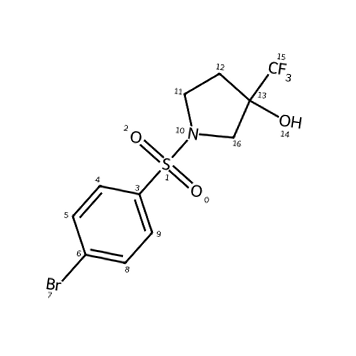 O=S(=O)(c1ccc(Br)cc1)N1CCC(O)(C(F)(F)F)C1